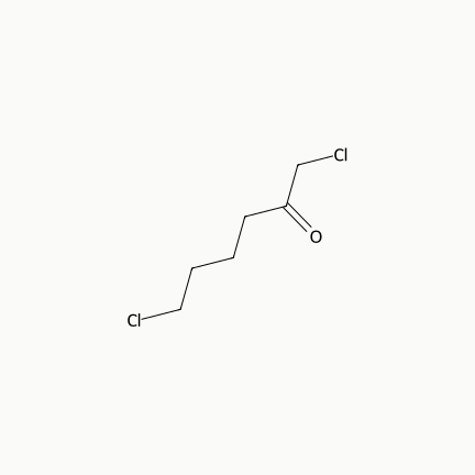 O=C(CCl)CCCCCl